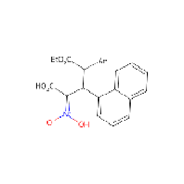 CCOC(=O)C(C(C)=O)C(C(C(=O)O)=[N+]([O-])O)c1cccc2ccccc12